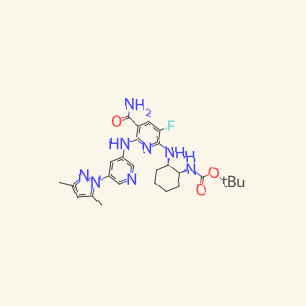 Cc1cc(C)n(-c2cncc(Nc3nc(N[C@@H]4CCCC[C@@H]4NC(=O)OC(C)(C)C)c(F)cc3C(N)=O)c2)n1